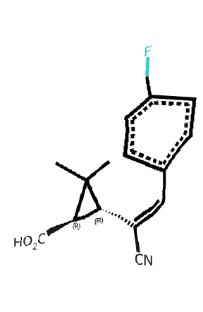 CC1(C)[C@H](C(=O)O)[C@H]1C(C#N)=Cc1ccc(F)cc1